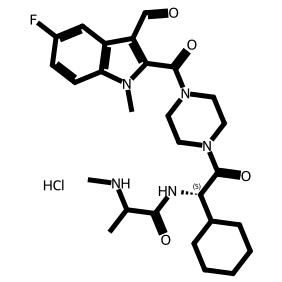 CNC(C)C(=O)N[C@H](C(=O)N1CCN(C(=O)c2c(C=O)c3cc(F)ccc3n2C)CC1)C1CCCCC1.Cl